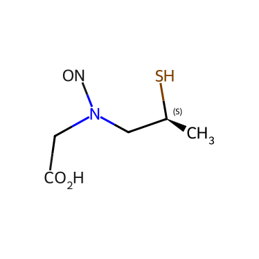 C[C@H](S)CN(CC(=O)O)N=O